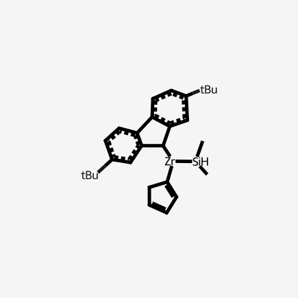 C[SiH](C)[Zr]([C]1=CC=CC1)[CH]1c2cc(C(C)(C)C)ccc2-c2ccc(C(C)(C)C)cc21